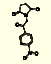 O=C(CN1C(=O)CCC1=O)c1ccc([N+](=O)[O-])cc1